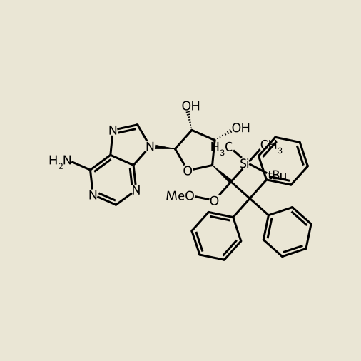 COOC([C@H]1O[C@@H](n2cnc3c(N)ncnc32)[C@H](O)[C@@H]1O)(C(c1ccccc1)(c1ccccc1)c1ccccc1)[Si](C)(C)C(C)(C)C